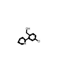 OCc1ccc(Cl)cc1-c1ccccn1